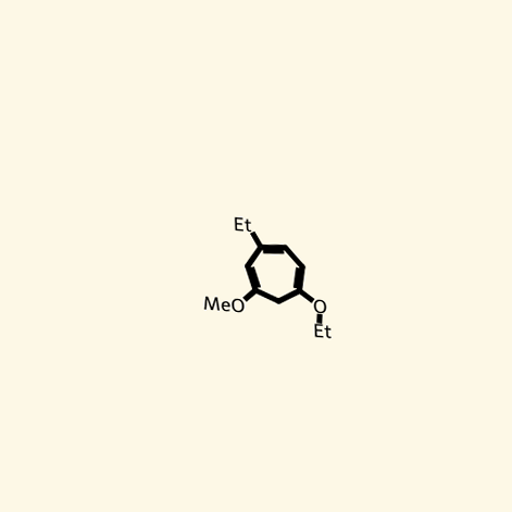 CCOC1=CC=C(CC)C=C(OC)C1